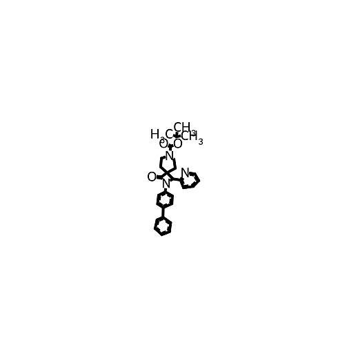 CC(C)(C)OC(=O)N1CCC2(CC1)C(=O)N(c1ccc(-c3ccccc3)cc1)C2c1ccccn1